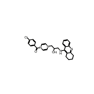 O=C(c1ccc(Cl)cc1)N1C=CN(CC(O)CNc2c3c(nc4ccccc24)CCCC3)C=C1